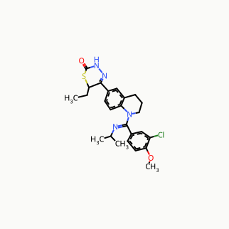 CCC1SC(=O)NN=C1c1ccc2c(c1)CCCN2C(=NC(C)C)c1ccc(OC)c(Cl)c1